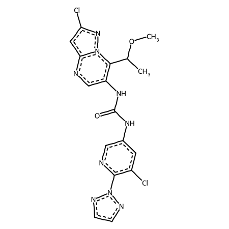 COC(C)c1c(NC(=O)Nc2cnc(-n3nccn3)c(Cl)c2)cnc2cc(Cl)nn12